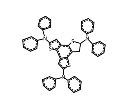 c1ccc(N(c2ccccc2)c2cc3c(s2)c2c(c4cc(N(c5ccccc5)c5ccccc5)sc43)SC(N(c3ccccc3)c3ccccc3)C2)cc1